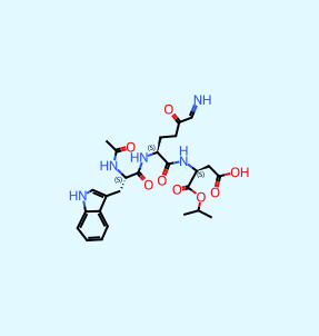 CC(=O)N[C@@H](Cc1c[nH]c2ccccc12)C(=O)N[C@@H](CCC(=O)C=N)C(=O)N[C@@H](CC(=O)O)C(=O)OC(C)C